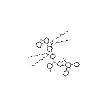 CCCCCCCCC1(CCCCCCCC)c2cc(N(c3cccc(C)c3)c3ccc4c(c3)C(C)(C)c3cc(-c5ccccc5)c5oc6ccccc6c5c3-4)ccc2-c2cc3c(cc21)-c1c(ccc2oc4ccccc4c12)C3(CCCCCCCC)CCCCCCCC